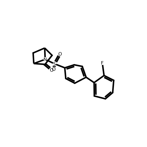 O=C1CC2CC1N2S(=O)(=O)c1ccc(-c2ccccc2F)cc1